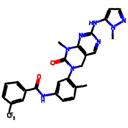 Cc1ccc(NC(=O)c2cccc(C(F)(F)F)c2)cc1N1Cc2cnc(Nc3ccnn3C)nc2N(C)C1=O